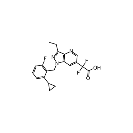 CCc1nn(Cc2c(F)cccc2C2CC2)c2cc(C(F)(F)C(=O)O)cnc12